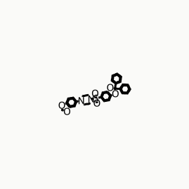 O=S(=O)(c1ccc2c(c1)OC(c1ccccc1)(c1ccccc1)O2)N1CCN(c2ccc3c(c2)OCO3)CC1